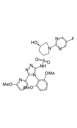 COc1cccc(-c2nnc(NS(=O)(=O)[C@@H]3C[C@@H](O)CN(c4ncc(F)cn4)C3)n2-c2c(OC)cccc2OC)n1